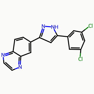 Clc1cc(Cl)cc(-c2cc(-c3ccc4nccnc4c3)n[nH]2)c1